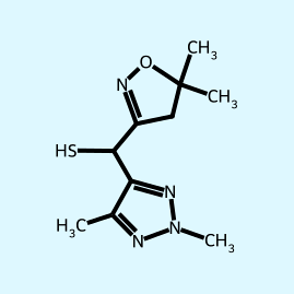 Cc1nn(C)nc1C(S)C1=NOC(C)(C)C1